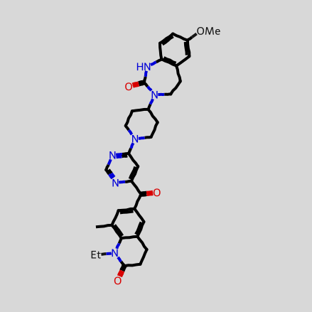 CCN1C(=O)CCc2cc(C(=O)c3cc(N4CCC(N5CCc6cc(OC)ccc6NC5=O)CC4)ncn3)cc(C)c21